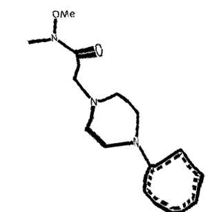 CON(C)C(=O)CN1CCN(c2ccccc2)CC1